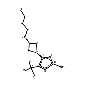 CCCCO[C@H]1C[C@@H](n2nc(N)cc2C(C)(C)C)C1